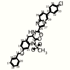 CS(=O)(=O)NC(=O)C(Cc1ccc(OCc2ccccc2)cc1)NC(=O)c1cn2cc(-c3ccc(Cl)cc3)ccc2n1